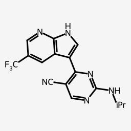 CC(C)Nc1ncc(C#N)c(-c2c[nH]c3ncc(C(F)(F)F)cc23)n1